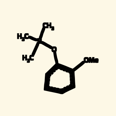 COc1ccccc1O[Si](C)(C)C